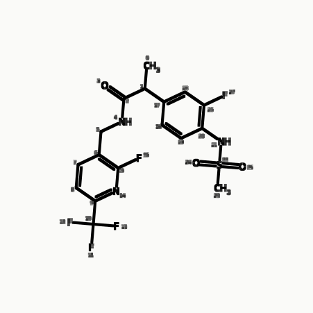 CC(C(=O)NCc1ccc(C(F)(F)F)nc1F)c1ccc(NS(C)(=O)=O)c(F)c1